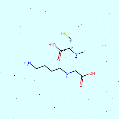 CN[C@@H](CS)C(=O)O.NCCCCNCC(=O)O